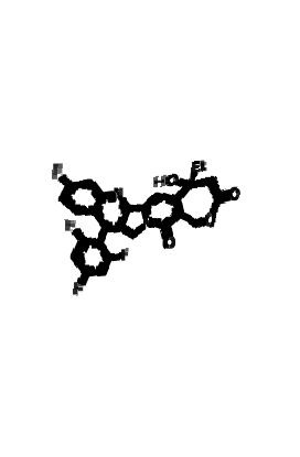 CC[C@@]1(O)CC(=O)OCc2c1cc1n(c2=O)Cc2c-1nc1cc(F)ccc1c2-c1c(F)cc(F)cc1F